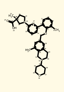 Cc1cc(COc2c(C)cccc2-c2cccc(N3CC[C@@](C)(C(=O)O)C3)n2)cc2c1CN(C1CCOCC1)CC2